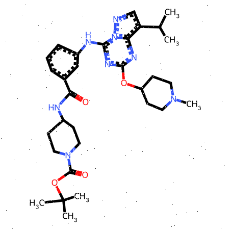 CC(C)c1cnn2c(Nc3cccc(C(=O)NC4CCN(C(=O)OC(C)(C)C)CC4)c3)nc(OC3CCN(C)CC3)nc12